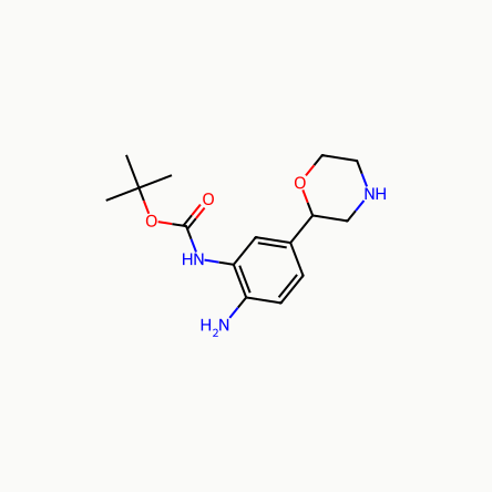 CC(C)(C)OC(=O)Nc1cc(C2CNCCO2)ccc1N